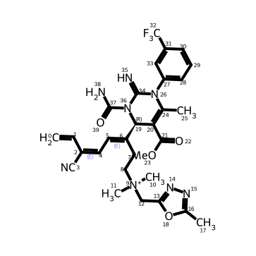 C=C/C(C#N)=C\C=C(/CC[N+](C)(C)Cc1nnc(C)o1)[C@@H]1C(C(=O)OC)=C(C)N(c2cccc(C(F)(F)F)c2)C(=N)N1C(N)=O